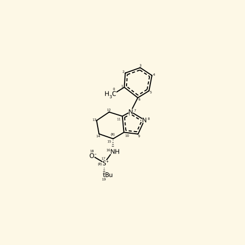 Cc1ccccc1-n1ncc2c1CCC[C@H]2N[S@@+]([O-])C(C)(C)C